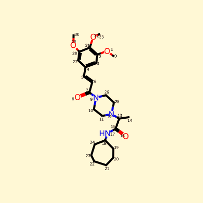 COc1cc(/C=C/C(=O)N2CCN(C(C)C(=O)NC3CCCCCC3)CC2)cc(OC)c1OC